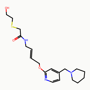 O=C(CSCCO)NCC=CCOc1cc(CN2CCCCC2)ccn1